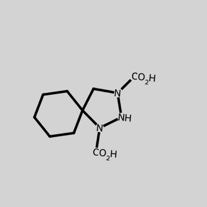 O=C(O)N1CC2(CCCCC2)N(C(=O)O)N1